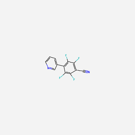 N#Cc1c(F)c(F)c(-c2cccnc2)c(F)c1F